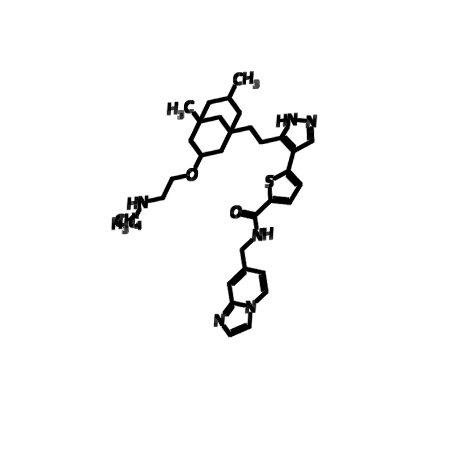 C.CNCCOC1CC2(C)CC(C)CC(CCc3[nH]ncc3-c3ccc(C(=O)NCc4ccn5ccnc5c4)s3)(C1)C2